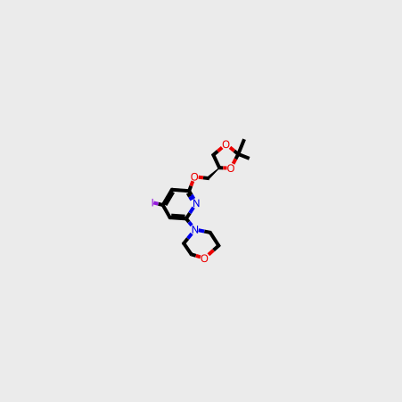 CC1(C)OC[C@H](COc2cc(I)cc(N3CCOCC3)n2)O1